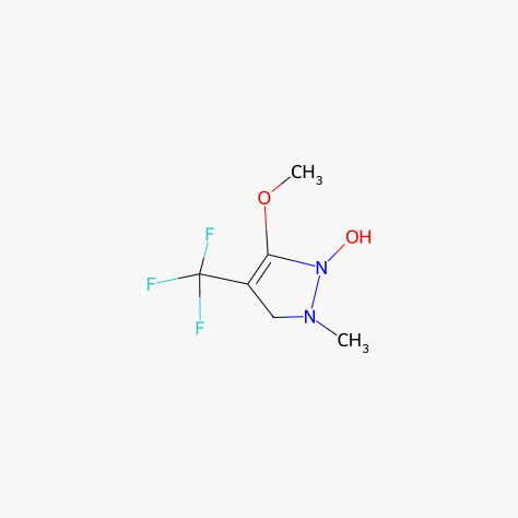 COC1=C(C(F)(F)F)CN(C)N1O